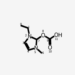 CCN1C=CN(C)C1OC(=O)O